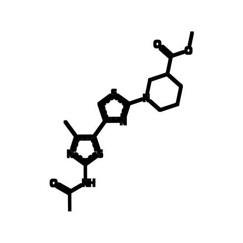 COC(=O)C1CCCN(c2nc(-c3sc(NC(C)=O)nc3C)cs2)C1